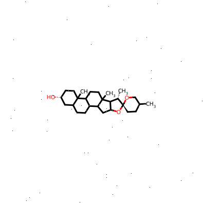 CC1CC[C@@]2(OC1)OC1CC3C4CCC5C[C@H](O)CCC5(C)C4CCC3(C)C1[C@@H]2C